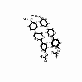 CCCCCCCC[C@H]1CC[C@H](C2COC(c3ccc(OC(F)F)cc3)OC2)CC1.CCCCCCC[C@H]1CC[C@H](C2COC(c3ccc(OC(F)F)cc3)OC2)CC1